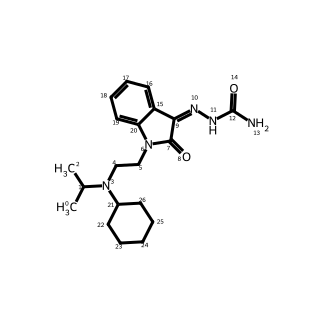 CC(C)N(CCN1C(=O)C(=NNC(N)=O)c2ccccc21)C1CCCCC1